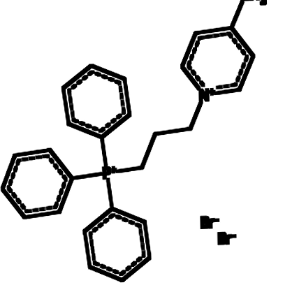 Cc1cc[n+](CCC[P+](c2ccccc2)(c2ccccc2)c2ccccc2)cc1.[Br-].[Br-]